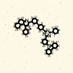 c1ccc(-c2nc(-c3ccc(-c4cccc(-c5nc6ccc7ccccc7c6c6c5sc5ccccc56)c4)cc3)nc(-c3cccc(-n4c5ccccc5c5ccccc54)c3)n2)cc1